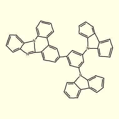 c1ccc2c(c1)nc1c3ccc(-c4cc(-n5c6ccccc6c6ccccc65)cc(-n5c6ccccc6c6ccccc65)c4)cc3c3ccccc3n21